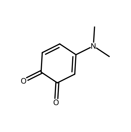 CN(C)C1=CC(=O)C(=O)C=C1